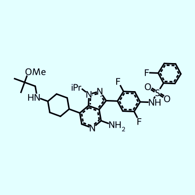 COC(C)(C)CNC1CCC(c2cnc(N)c3c(-c4cc(F)c(NS(=O)(=O)c5ccccc5F)cc4F)nn(C(C)C)c23)CC1